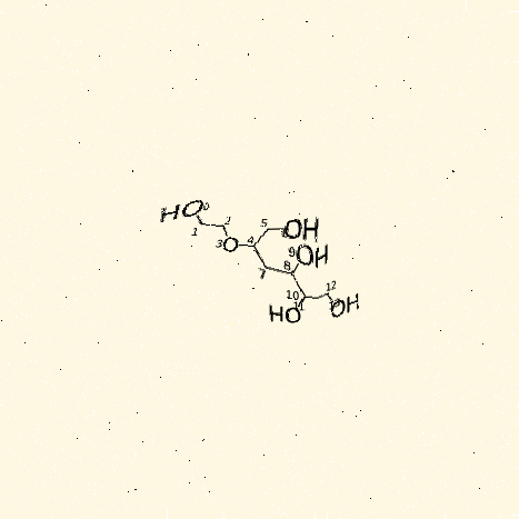 OCCOC(CO)CC(O)C(O)CO